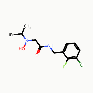 CC(C)C(C)N(O)CC(=O)NCc1cccc(Cl)c1F